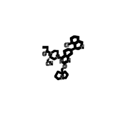 C=CC(=O)N1CCN(c2nc(OCC34CCCN3CCC4)nc3cc(-c4cncc5cccc(Cl)c45)ccc23)C[C@@H]1CC#N